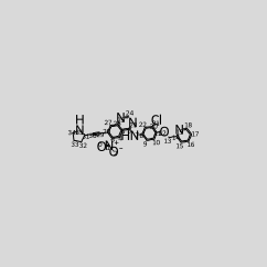 O=[N+]([O-])c1cc2c(Nc3ccc(OCc4ccccn4)c(Cl)c3)ncnc2cc1C#CC1CCCN1